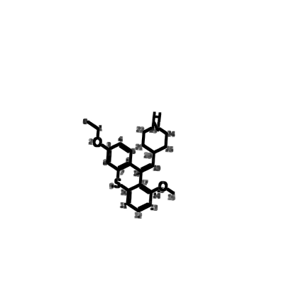 CCOc1ccc2c(c1)Sc1cccc(OC)c1C2=CC1CCNCC1